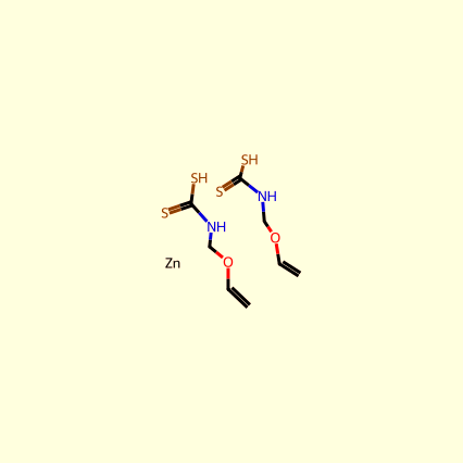 C=COCNC(=S)S.C=COCNC(=S)S.[Zn]